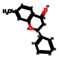 Cc1ccc2c(c1)O[C@@H](c1ccccc1)CC2=O